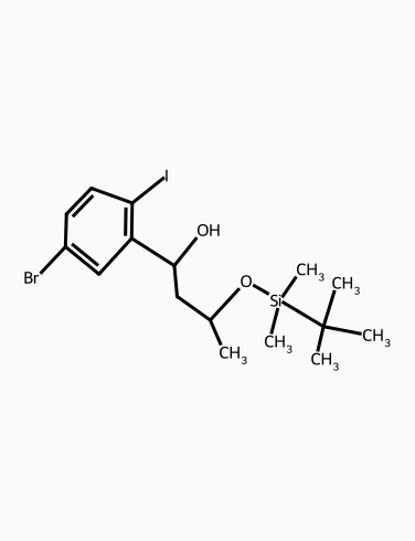 CC(CC(O)c1cc(Br)ccc1I)O[Si](C)(C)C(C)(C)C